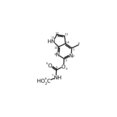 Cc1nc(OC(=O)NC(=O)O)nc2[nH]ccc12